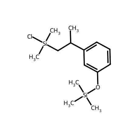 CC(C[Si](C)(C)Cl)c1cccc(O[Si](C)(C)C)c1